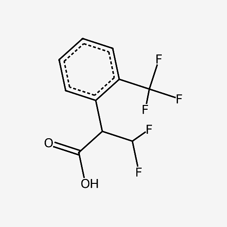 O=C(O)C(c1ccccc1C(F)(F)F)C(F)F